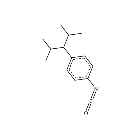 CC(C)C(c1ccc(N=C=O)cc1)C(C)C